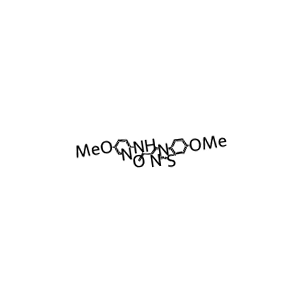 COc1ccc(NC(=O)c2cn3c(n2)sc2cc(OC)ccc23)nc1